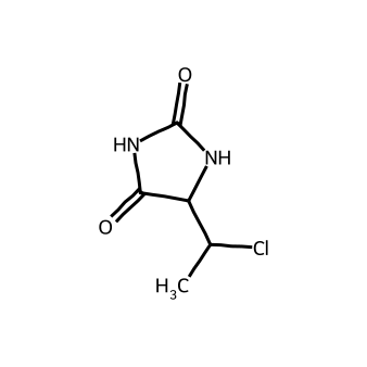 CC(Cl)C1NC(=O)NC1=O